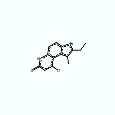 CCc1[nH]c2ccc3[nH]c(=O)cc(Cl)c3c2c1C